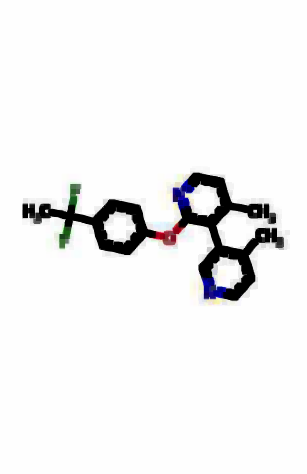 Cc1ccncc1-c1c(C)ccnc1Oc1ccc(C(C)(F)F)cc1